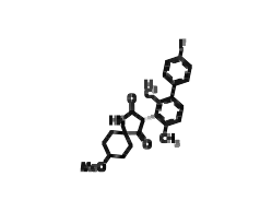 COC1CCC2(CC1)NC(=O)[C@H](c1c(C)ccc(-c3ccc(F)cc3)c1C)C2=O